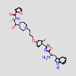 C[C@H](NC(=O)c1ccco1)C(=O)N1CCCN(CCCOc2ccc(-c3noc([C@@H](N)Cc4c[nH]c5ccccc45)n3)c(F)c2)CC1